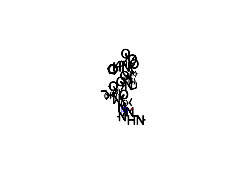 CC[C@H](C)[C@@H]([C@@H](CC(=O)N1CCC[C@H]1[C@H](OC)[C@@H](C)C(=O)N[C@@H](Cc1ccccc1)C(=O)OC)OC)N(C)C(=O)[C@@H](/N=C(/N(C)C)N(C)CCNC)C(C)C